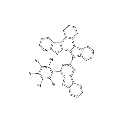 [2H]c1c([2H])c([2H])c(-c2nc(-n3c4ccccc4c4c5ccccc5c5c6ccccc6sc5c43)nc3c2sc2ccccc23)c([2H])c1[2H]